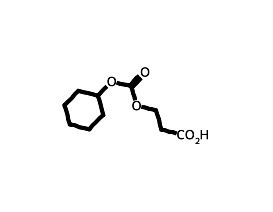 O=C(O)CCOC(=O)OC1CCCCC1